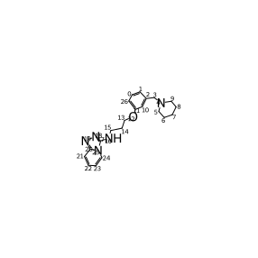 c1cc(CN2CCCCC2)cc(OCCCNc2nnc3ccccn23)c1